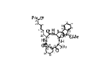 CCC(C)[C@@H]1NC(=O)[C@H](Cc2cn(OC)c3ccccc23)NC(=O)[C@H](CCCCCC(=O)C(C)C)NC(=O)[C@H]2CCCCN2C1=O